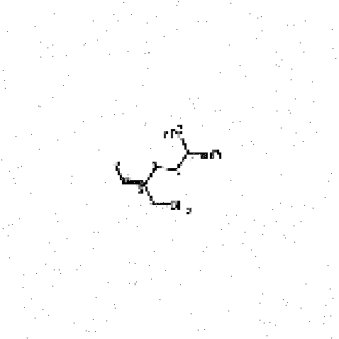 BC/C(=C/C)CCC(CCC)CCC